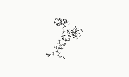 CCCC(CCC)C(=O)Nc1ccn([C@@H]2S[C@H](CO[Si](C)(C)C(C)(C)C)CC2O[Si](C)(C)C(C)(C)C)c(=O)n1